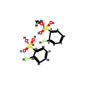 O=S(=O)([O-])c1ccccc1F.O=S(=O)([O-])c1ccccc1F.[Yb+2]